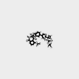 CN1C(=O)c2cccc(OC(F)F)c2[C@H]2C[C@@H]1c1nc3ccc(-c4cnc(C5(NC(=O)OC(C)(C)C)CCC5)nc4)cc3n12